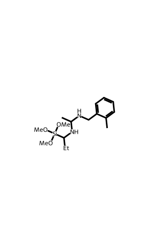 CCC(NC(C)NCc1ccccc1C)[Si](OC)(OC)OC